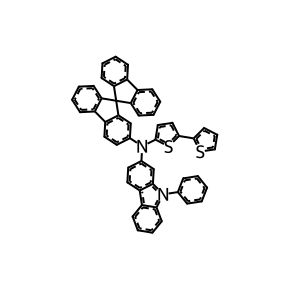 c1ccc(-n2c3ccccc3c3ccc(N(c4ccc5c(c4)C4(c6ccccc6-c6ccccc64)c4ccccc4-5)c4ccc(-c5cccs5)s4)cc32)cc1